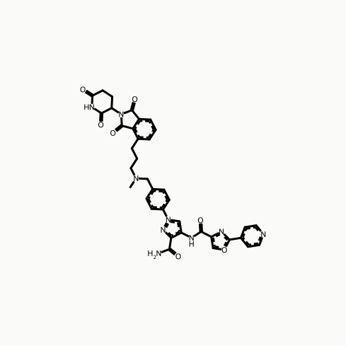 CN(CCCc1cccc2c1C(=O)N(C1CCC(=O)NC1=O)C2=O)Cc1ccc(-n2cc(NC(=O)c3coc(-c4ccncc4)n3)c(C(N)=O)n2)cc1